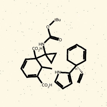 C=C[C@@]1(c2ccc[nH]2)C=CC=CC1.CC1C(C(=O)O)=CC=CC1(C(=O)O)C1(NC(=O)OC(C)(C)C)CC1